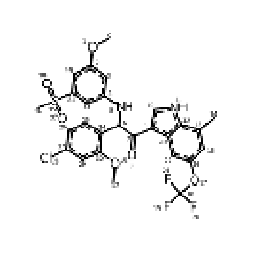 COc1cc(NC(C(=O)c2c[nH]c3c(C)cc(OC(F)(F)F)cc23)c2ccc(Cl)cc2OC)cc(S(C)(=O)=O)c1